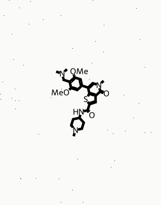 COc1cc(-c2cn(C)c(=O)c3cc(C(=O)NC4CCN(C)CC4)sc23)cc(OC)c1CN(C)C